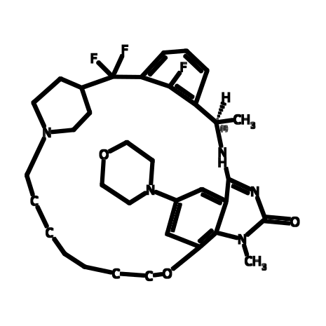 C[C@H]1Nc2nc(=O)n(C)c3c(cc(N4CCOCC4)cc23)OCCCCCCCN2CCC(CC2)C(F)(F)c2cccc1c2F